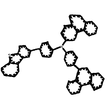 c1ccc2c(c1)ccc1ccc(N(c3ccc(-c4ccc5sc6ccccc6c5c4)cc3)c3ccc(-c4cc5ccccc5c5ccccc45)cc3)cc12